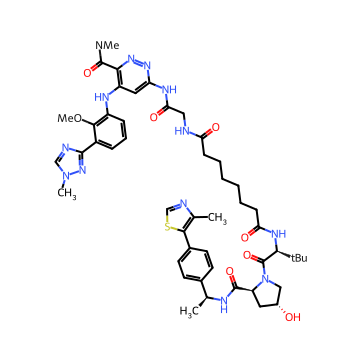 CNC(=O)c1nnc(NC(=O)CNC(=O)CCCCCCC(=O)N[C@H](C(=O)N2C[C@H](O)C[C@H]2C(=O)N[C@@H](C)c2ccc(-c3scnc3C)cc2)C(C)(C)C)cc1Nc1cccc(-c2ncn(C)n2)c1OC